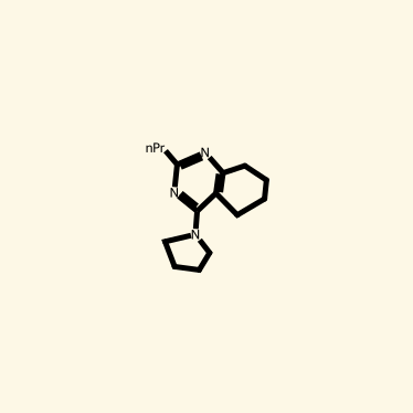 CCCc1nc2c(c(N3CCCC3)n1)CCCC2